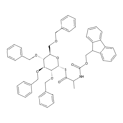 CC(NC(=O)OCC1c2ccccc2-c2ccccc21)C(=O)S[C@H]1O[C@H](COCc2ccccc2)[C@@H](OCc2ccccc2)[C@H](OCc2ccccc2)[C@H]1OCc1ccccc1